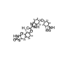 CCC(C)Nc1ccc(Oc2ccc3nc(C(C)Oc4ccc(CC5SC(=O)NC5=O)cc4)[nH]c3c2)cc1